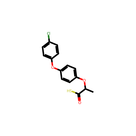 CC(Oc1ccc(Oc2ccc(Cl)cc2)cc1)C(=O)S